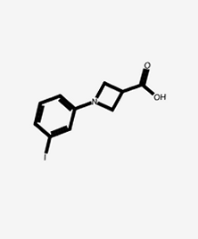 O=C(O)C1CN(c2cccc(I)c2)C1